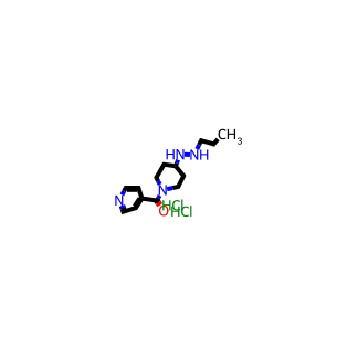 CCCNNC1CCN(C(=O)c2ccncc2)CC1.Cl.Cl